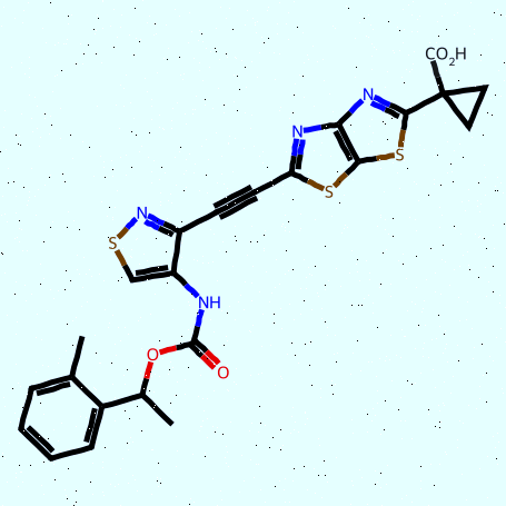 Cc1ccccc1C(C)OC(=O)Nc1csnc1C#Cc1nc2nc(C3(C(=O)O)CC3)sc2s1